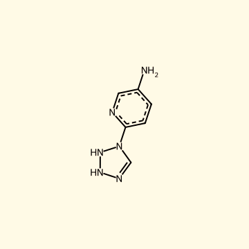 Nc1ccc(N2C=NNN2)nc1